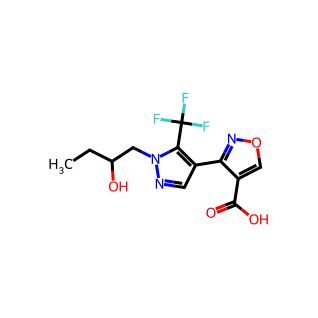 CCC(O)Cn1ncc(-c2nocc2C(=O)O)c1C(F)(F)F